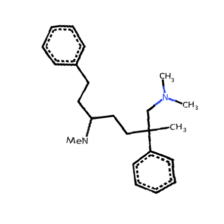 CNC(CCc1ccccc1)CCC(C)(CN(C)C)c1ccccc1